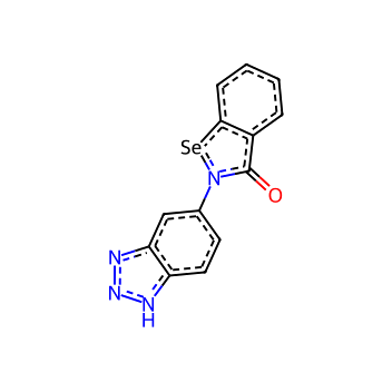 O=c1c2ccccc2[se]n1-c1ccc2[nH]nnc2c1